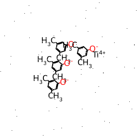 Cc1cc(C)cc([O-])c1.Cc1cc(C)cc([O-])c1.Cc1cc(C)cc([O-])c1.Cc1cc(C)cc([O-])c1.[Ti+4]